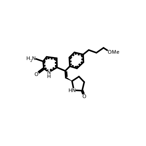 COCCCc1ccc(/C(=C\[C@H]2CCC(=O)N2)c2ccc(N)c(=O)[nH]2)cc1